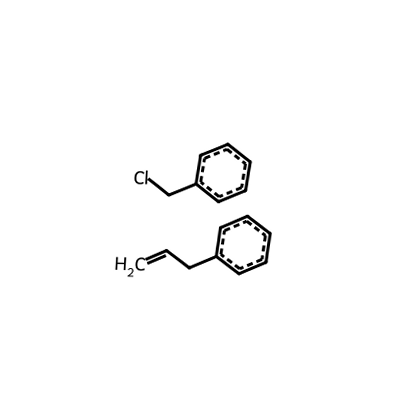 C=CCc1ccccc1.ClCc1ccccc1